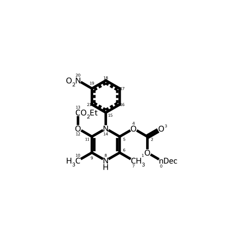 CCCCCCCCCCOC(=O)OC1=C(C)NC(C)=C(OC(=O)OCC)N1c1cccc([N+](=O)[O-])c1